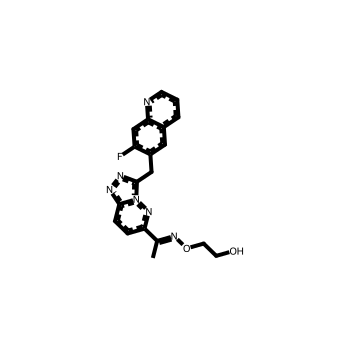 CC(=NOCCO)c1ccc2nnc(Cc3cc4cccnc4cc3F)n2n1